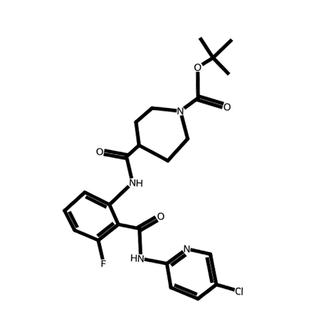 CC(C)(C)OC(=O)N1CCC(C(=O)Nc2cccc(F)c2C(=O)Nc2ccc(Cl)cn2)CC1